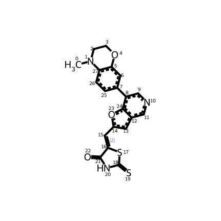 CN1CCOc2cc(-c3cncc4cc(/C=C5\SC(=S)NC5=O)oc34)ccc21